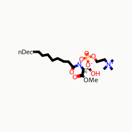 CCCCCCCCCCCCCCCCCC(=O)N(OP(=O)([O-])OCC[N+](C)(C)C)[C@H](CO)C(=O)OC